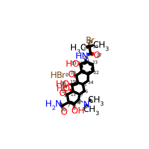 Br.CN(C)[C@@H]1C(O)=C(C(N)=O)C(=O)C2(O)C(O)=C3C(=O)c4c(ccc(NC(=O)C(C)(C)Br)c4O)CC3CC12